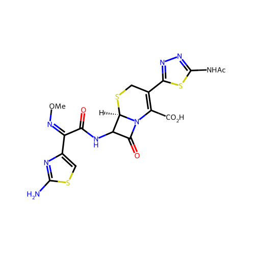 CO/N=C(\C(=O)NC1C(=O)N2C(C(=O)O)=C(c3nnc(NC(C)=O)s3)CS[C@H]12)c1csc(N)n1